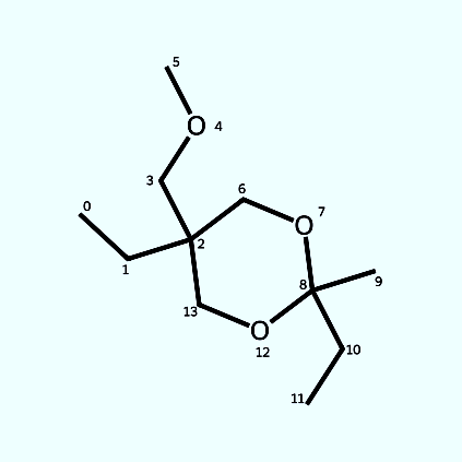 CCC1(COC)COC(C)(CC)OC1